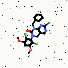 COc1cc(OC)c(Cl)c(N2Cc3cnc(Cl)nc3N(Cc3ccccc3)C2=O)c1Cl